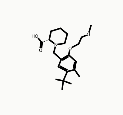 COCCOc1cc(C)c(C(C)(C)C)cc1CN1CCCC[C@H]1C(=O)O